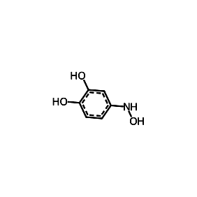 ONc1ccc(O)c(O)c1